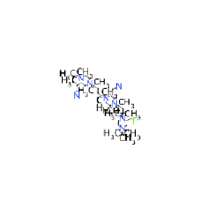 CC1CN(C(C)(C)CCC(C)(C)N2CCN(C(C)(C)C)[C@H](CC#N)C2)[C@H](CC#N)CN1C(C)(C)CC(C)(C)N1CCN(C(C)(C)C)CC1CF